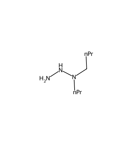 CCCCN(CCC)NN